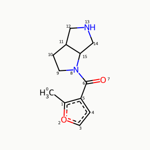 Cc1occc1C(=O)N1CCC2CNCC21